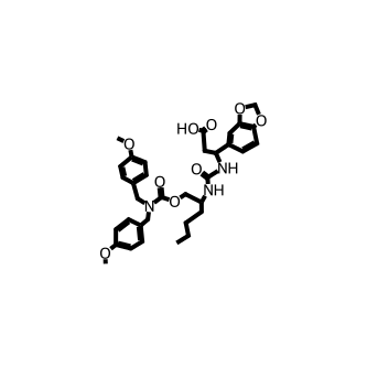 CCCCC(COC(=O)N(Cc1ccc(OC)cc1)Cc1ccc(OC)cc1)NC(=O)NC(CC(=O)O)c1ccc2c(c1)OCO2